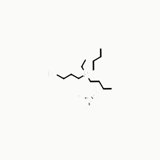 CCCC[P+](CC)(CCCC)CCCC.O=S([O-])[O-].[H+]